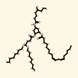 CCCCC/C=C\C/C=C\CCCCCCCC(=O)OC1CC(NC(=O)CCCC(C)CCC)CC1OC(=O)CCC(OCCCCCCCC)OCCCCCCCC